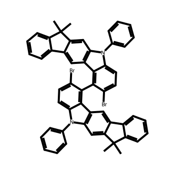 CC1(C)c2ccccc2-c2cc3c4c(-c5c(Br)ccc6c5c5cc7c(cc5n6-c5ccccc5)C(C)(C)c5ccccc5-7)c(Br)ccc4n(-c4ccccc4)c3cc21